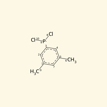 Cc1cccc(C)c1.Cl[P]Cl